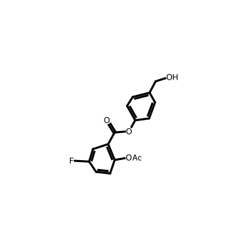 CC(=O)Oc1ccc(F)cc1C(=O)Oc1ccc(CO)cc1